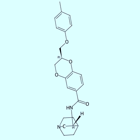 Cc1ccc(OC[C@@H]2COc3cc(C(=O)N[C@H]4CN5CCC4CC5)ccc3O2)cc1